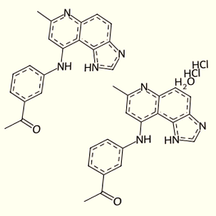 CC(=O)c1cccc(Nc2cc(C)nc3ccc4nc[nH]c4c23)c1.CC(=O)c1cccc(Nc2cc(C)nc3ccc4nc[nH]c4c23)c1.Cl.Cl.O